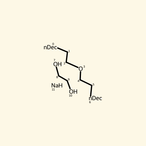 CCCCCCCCCCCCOCCCCCCCCCCCC.OCCO.[NaH]